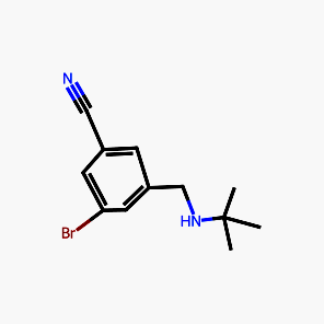 CC(C)(C)NCc1cc(Br)cc(C#N)c1